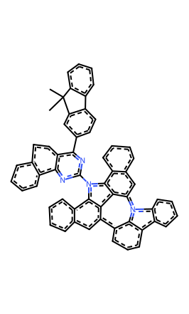 CC1(C)c2ccccc2-c2ccc(-c3nc(-n4c5c6ccccc6cc6c7cccc8c9ccccc9n(c9cc%10ccccc%10c4c9c65)c78)nc4c3ccc3ccccc34)cc21